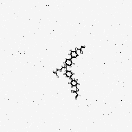 C=CC(=O)Oc1ccc(-c2ccc(N(CCCN(C)C)c3ccc(-c4ccc(OC(=O)C=C)cc4)cc3)cc2)cc1